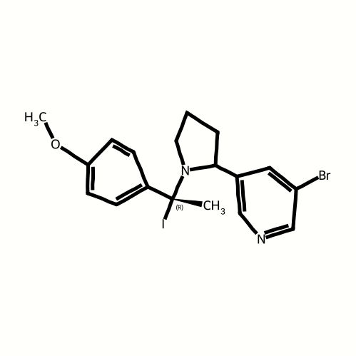 COc1ccc([C@@](C)(I)N2CCCC2c2cncc(Br)c2)cc1